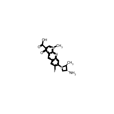 C[C@H]1[C@H](N)CN1c1cc2nc3c(cc2cc1F)c(=O)c(C(=O)O)cn3C